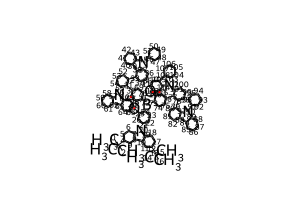 CC(C)(C)c1ccc2c(c1)c1cc(C(C)(C)C)ccc1n2-c1ccc2c(c1)Oc1cc(-c3c(-c4cccc5c4c4ccccc4n5-c4ccccc4)cccc3-n3c4ccccc4c4ccccc43)cc3c1B2c1ccc(-c2c(-c4cccc5c6ccccc6n(-c6ccccc6)c45)cccc2-n2c4ccccc4c4ccccc42)cc1O3